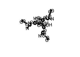 CC(=O)OCCOc1nc(Oc2ccc(B(O)OB(OB(O)c3ccc(Oc4ccc(C#N)c(OCCOC(C)=O)n4)cc3CO)c3ccc(Oc4ccc(C#N)c(OCCOC(C)=O)n4)cc3CO)c(CO)c2)ccc1C#N